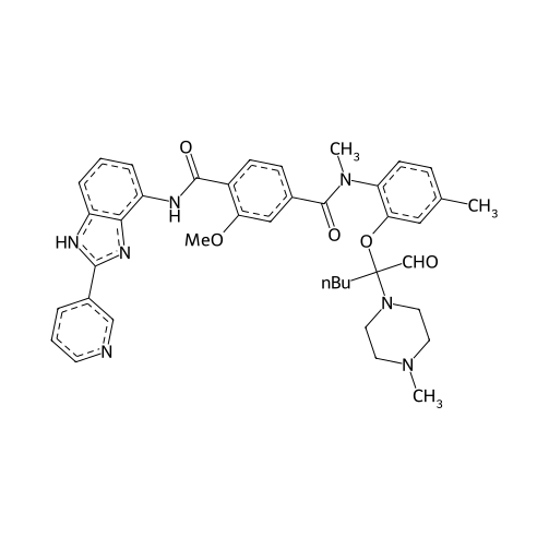 CCCCC(C=O)(Oc1cc(C)ccc1N(C)C(=O)c1ccc(C(=O)Nc2cccc3[nH]c(-c4cccnc4)nc23)c(OC)c1)N1CCN(C)CC1